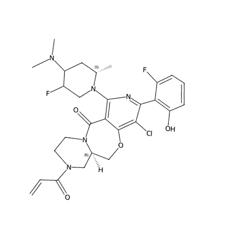 C=CC(=O)N1CCN2C(=O)c3c(N4CC(F)C(N(C)C)C[C@@H]4C)nc(-c4c(O)cccc4F)c(Cl)c3OC[C@H]2C1